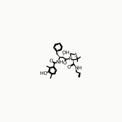 C=CCNC(=O)[C@H]1N(C(=O)[C@@H](O)[C@H](Cc2ccccc2)NC(=O)c2ccc(C)c(O)c2C)CSC1(C)C